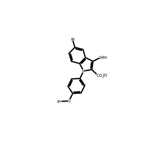 CCOC(=O)c1c(SC)c2cc(Br)ccc2n1-c1ccc(OC(C)C)cc1